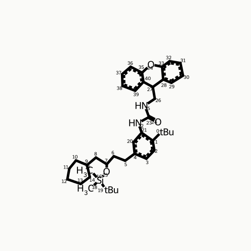 CC(C)(C)c1ccc(CCC(CC2CCCCC2)O[Si](C)(C)C(C)(C)C)cc1NC(=O)NCC1c2ccccc2Oc2ccccc21